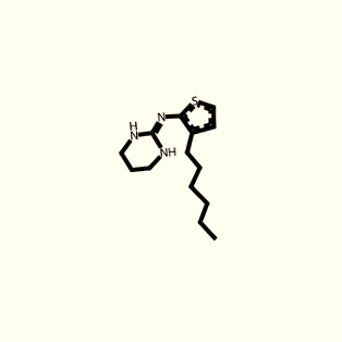 CCCCCCc1ccsc1N=C1NCCCN1